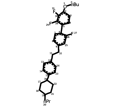 CCCCOc1ccc(-c2ccc(CCc3ccc(C4CCC(CCC)CC4)cc3)cc2F)c(F)c1F